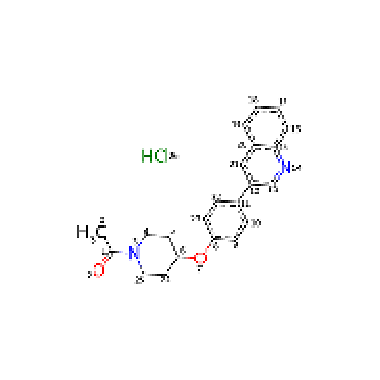 CC(=O)N1CCC(Oc2ccc(-c3cnc4ccccc4c3)cc2)CC1.Cl